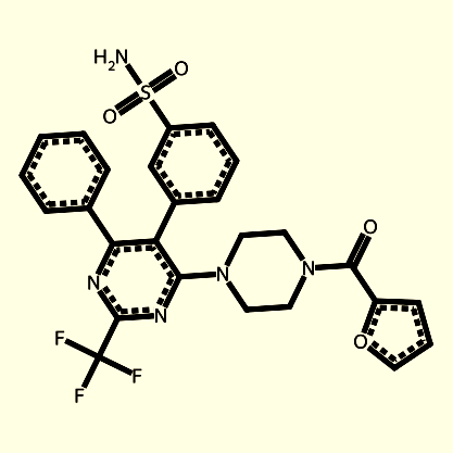 NS(=O)(=O)c1cccc(-c2c(-c3ccccc3)nc(C(F)(F)F)nc2N2CCN(C(=O)c3ccco3)CC2)c1